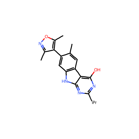 Cc1cc2c(cc1-c1c(C)noc1C)[nH]c1nc(C(C)C)nc(O)c12